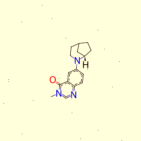 Cn1cnc2ccc(N3CCC4CC[C@H]3C4)cc2c1=O